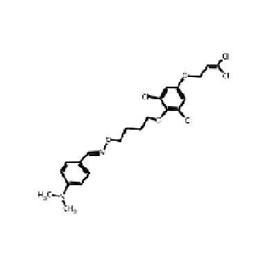 CN(C)c1ccc(C=NOCCCCOc2c(Cl)cc(OCC=C(Cl)Cl)cc2Cl)cc1